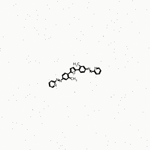 Cc1cc(N=Nc2ccccn2)ccc1-c1ccc(-c2ccc(N=Nc3ccccn3)cc2C)o1